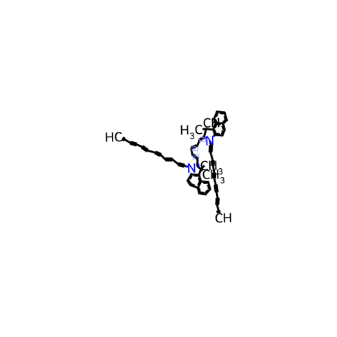 C#CC#CC#CC#CC#CC#CN1\C(=C/C=C/C=C/C2=[N+](C#CC#CC#CC#CC#CC#C)c3ccc4ccccc4c3C2(C)C)C(C)(C)c2c1ccc1ccccc21